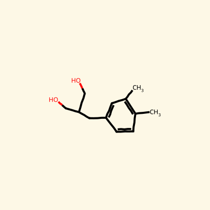 Cc1ccc(CC(CO)CO)cc1C